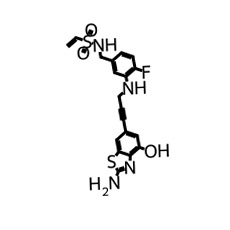 C=CS(=O)(=O)NCc1ccc(F)c(NCC#Cc2cc(O)c3nc(N)sc3c2)c1